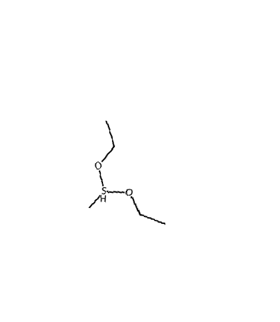 CCO[SH](C)OCC